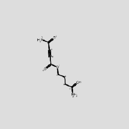 NC(=O)C#CC(=O)OCCCC(N)=O